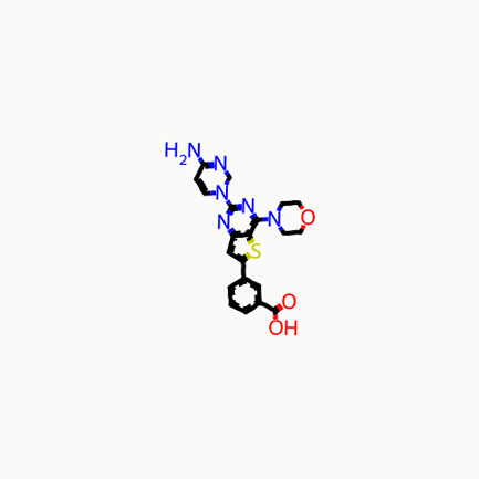 NC1=NCN(c2nc(N3CCOCC3)c3sc(-c4cccc(C(=O)O)c4)cc3n2)C=C1